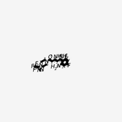 N=C(CC(N)CC(=O)N1CCn2c(nnc2C(F)(F)F)C1)c1c(N)cc(F)cc1F